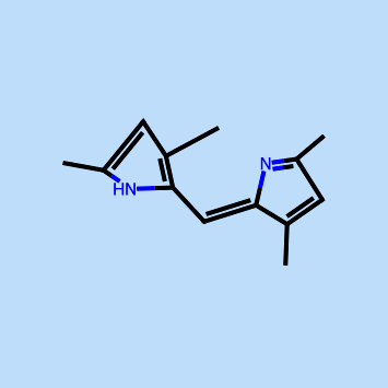 CC1=CC(C)=N/C1=C\c1[nH]c(C)cc1C